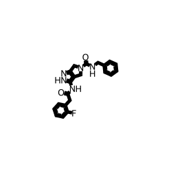 O=C(Cc1ccccc1F)Nc1[nH]nc2c1CN(C(=O)NCc1ccccc1)C2